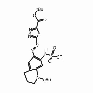 CCCCN1CCCc2cc(N=Nc3nnc(C(=O)OC(C)(C)C)s3)c(NS(=O)(=O)C(F)(F)F)cc21